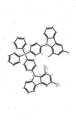 Cc1cc(C)c2c(c1)c1ccccc1n2-c1ccc([Si](c2ccccc2)(c2ccccc2)c2ccc(-n3c4ccccc4c4cc(C(F)(F)F)cc(C(F)(F)F)c43)cc2)cc1